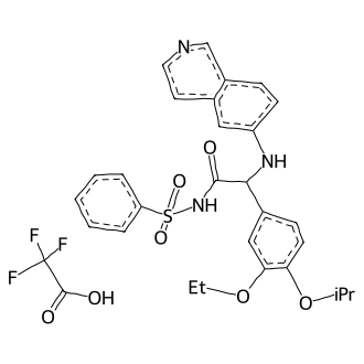 CCOc1cc(C(Nc2ccc3cnccc3c2)C(=O)NS(=O)(=O)c2ccccc2)ccc1OC(C)C.O=C(O)C(F)(F)F